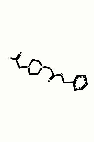 O=C(O)CN1CCN(NC(=O)OCc2ccccc2)CC1